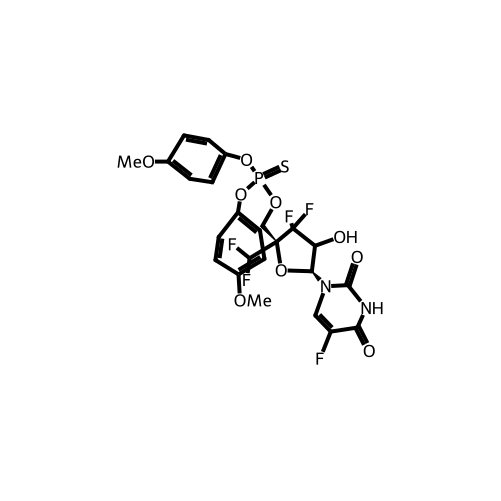 COc1ccc(OP(=S)(OC[C@]2(C(F)F)O[C@H](n3cc(F)c(=O)[nH]c3=O)C(O)C2(F)F)Oc2ccc(OC)cc2)cc1